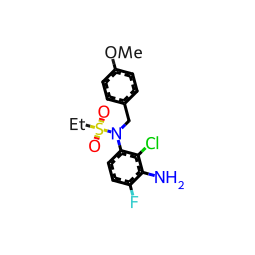 CCS(=O)(=O)N(Cc1ccc(OC)cc1)c1ccc(F)c(N)c1Cl